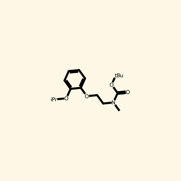 CC(C)Oc1ccccc1OCCN(C)C(=O)OC(C)(C)C